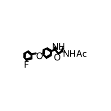 CC(=O)N[C@H](C)C(=O)C(=N)c1ccc(OCc2cccc(F)c2)cc1